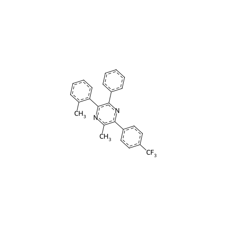 Cc1ccccc1-c1nc(C)c(-c2ccc(C(F)(F)F)cc2)nc1-c1ccccc1